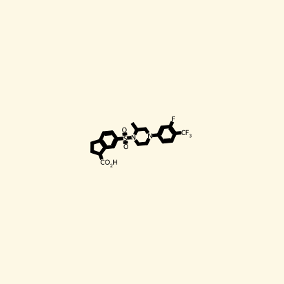 CC1CN(c2ccc(C(F)(F)F)c(F)c2)CCN1S(=O)(=O)c1ccc2c(c1)C(C(=O)O)CC2